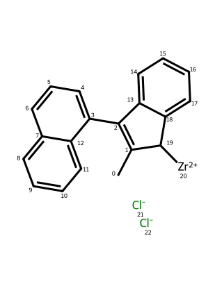 CC1=C(c2cccc3ccccc23)c2ccccc2[CH]1[Zr+2].[Cl-].[Cl-]